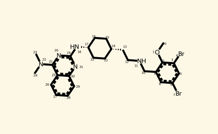 COc1c(Br)cc(Br)cc1CNCC[C@H]1CC[C@@H](Nc2nc(N(C)C)c3ccccc3n2)CC1